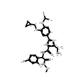 CONC(=O)C(NC(=O)c1nc(-c2ccc(OC(F)F)c(OCC3CC3)c2)oc1[C@H](C)N)c1ccc(F)cc1F